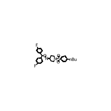 CCCCc1ccc(S(=O)(=O)N2CCC(=NOC(c3ccc(F)cc3)c3ccc(F)cc3)CC2)cc1